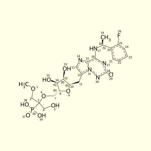 COCC(CO)(OC[C@H]1O[C@H](Cc2cnc3c(N[C@@H](C)c4ccccc4F)nc(Cl)nn23)[C@H](O)[C@@H]1O)P(=O)(O)O